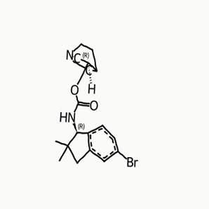 CC1(C)Cc2cc(Br)ccc2[C@@H]1NC(=O)O[C@H]1CN2CCC1CC2